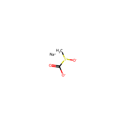 C[S+]([O-])C(=O)[O-].[Na+]